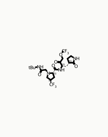 CC(C)(C)NC(=O)CN1C[C@H](C(F)(F)F)C[C@H]1C(=O)N[C@@H](C[C@@H]1CCNC1=O)C(=O)COC(F)(F)F